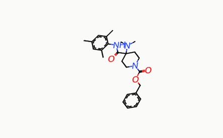 Cc1cc(C)c(NC(=O)C2(N(C)C)CCN(C(=O)OCc3ccccc3)CC2)c(C)c1